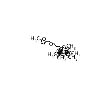 Cc1ccc(COCCC[Si@](C)(O[Si](C)(C)C)O[Si](C)(C)O[Si](C)(C)C)o1